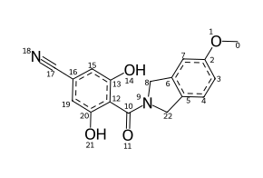 COc1ccc2c(c1)CN(C(=O)c1c(O)cc(C#N)cc1O)C2